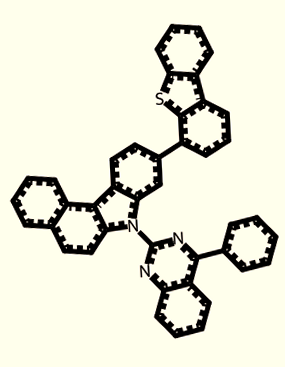 c1ccc(-c2nc(-n3c4cc(-c5cccc6c5sc5ccccc56)ccc4c4c5ccccc5ccc43)nc3ccccc23)cc1